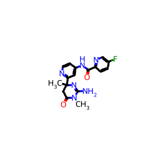 CN1C(=O)CC(C)(c2cc(NC(=O)c3ccc(F)cn3)ccn2)N=C1N